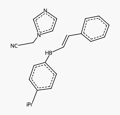 CC(C)c1ccc(BC=Cc2ccccc2)cc1.N#CCn1ccnc1